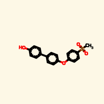 CS(=O)(=O)c1ccc(Oc2ccc(-c3ccc(O)cc3)cc2)cc1